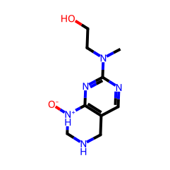 CN(CCO)c1ncc2c(n1)[NH+]([O-])CNC2